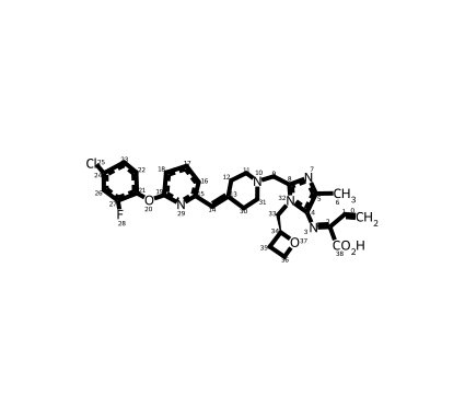 C=C/C(=N\c1c(C)nc(CN2CCC(=Cc3cccc(Oc4ccc(Cl)cc4F)n3)CC2)n1C[C@@H]1CCO1)C(=O)O